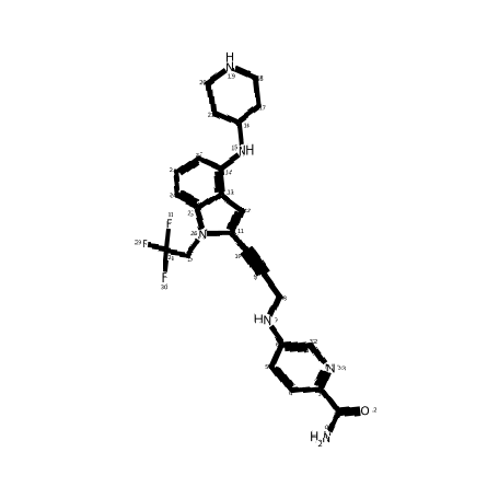 NC(=O)c1ccc(NCC#Cc2cc3c(NC4CCNCC4)cccc3n2CC(F)(F)F)cn1